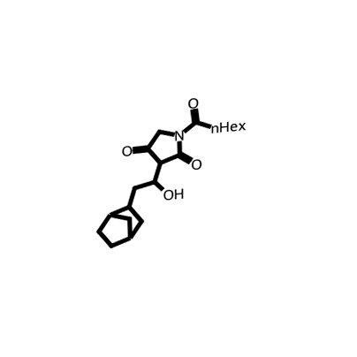 CCCCCCC(=O)N1CC(=O)C(C(O)CC2CC3CCC2C3)C1=O